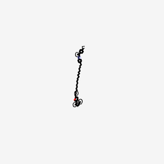 O=C(/C=C/c1ccc(CCCCCCCCCCCCCCCCCCOCc2ccc(N3C(=O)C=CC3=O)cc2)cc1)c1ccc(F)cc1